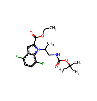 CCOC(=O)c1cc2c(F)ccc(F)c2n1C(C)CNC(=O)OC(C)(C)C